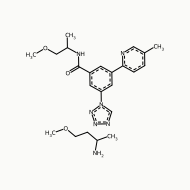 COCC(C)NC(=O)c1cc(-c2ccc(C)cn2)cc(-n2cnnn2)c1.COCCC(C)N